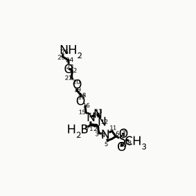 Bc1c(CN2CC(S(C)(=O)=O)C2)nnn1CCOCCOCCOCCN